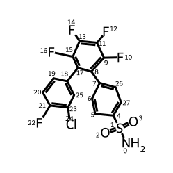 NS(=O)(=O)c1ccc(-c2c(F)c(F)c(F)c(F)c2-c2ccc(F)c(Cl)c2)cc1